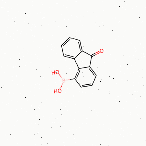 O=C1c2ccccc2-c2c(B(O)O)cccc21